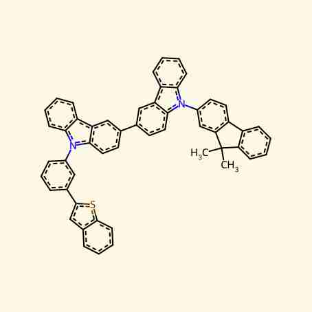 CC1(C)c2ccccc2-c2ccc(-n3c4ccccc4c4cc(-c5ccc6c(c5)c5ccccc5n6-c5cccc(-c6cc7ccccc7s6)c5)ccc43)cc21